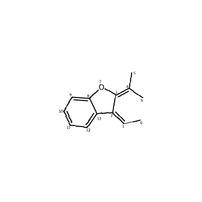 C/C=c1\c(=C(C)C)oc2ccccc12